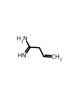 C=CCC(=N)N